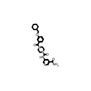 NC(=O)c1cncc(NC(=O)N2CCN(C(=O)c3cccc(OCC4CCCCC4)c3)CC2)c1